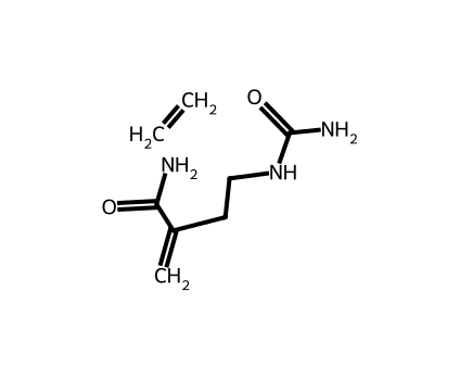 C=C.C=C(CCNC(N)=O)C(N)=O